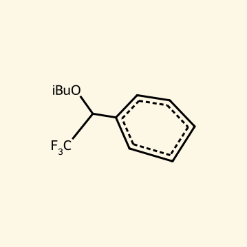 CC(C)COC(c1ccccc1)C(F)(F)F